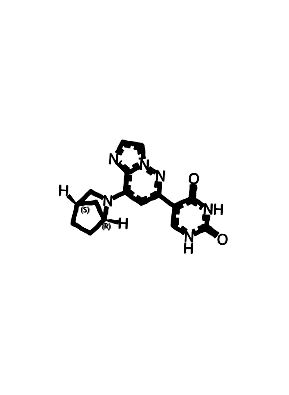 O=c1[nH]cc(-c2cc(N3C[C@H]4CC[C@@H]3C4)c3nccn3n2)c(=O)[nH]1